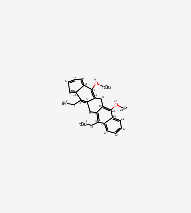 CC(C)Cc1c2c(c(OC(C)(C)C)c3ccccc13)Cc1c(c(CC(C)(C)C)c3ccccc3c1OC(C)C)C2